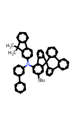 CC(C)(C)c1cc(N(c2cccc(-c3ccccc3)c2)c2ccc3c(c2)C(C)(C)c2ccccc2-3)c2c(c1)C1(c3ccccc3-c3ccccc3-c3ccccc31)c1ccccc1-2